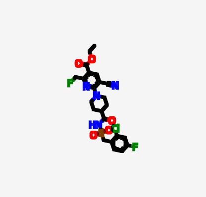 CCOC(=O)c1cc(C#N)c(N2CCC(C(=O)NS(=O)(=O)Cc3ccc(F)cc3Cl)CC2)nc1CF